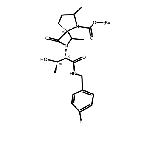 CC1CC[C@]2(C(=O)N([C@H](C(=O)NCc3ccc(F)cc3)[C@@H](C)O)C2C)N1C(=O)OC(C)(C)C